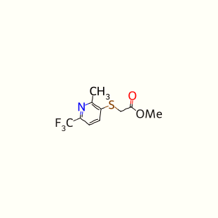 COC(=O)CSc1ccc(C(F)(F)F)nc1C